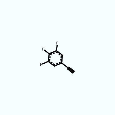 C#Cc1cc(F)c(F)c(F)c1